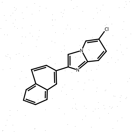 Clc1ccc2nc(-c3ccc4ccccc4c3)cn2c1